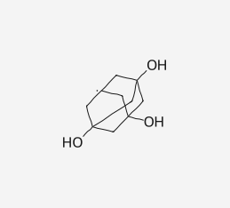 OC12C[C]3CC(O)(C1)CC(O)(C3)C2